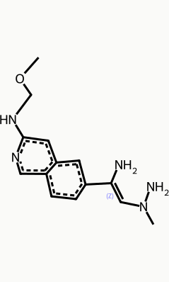 COCNc1cc2cc(/C(N)=C/N(C)N)ccc2cn1